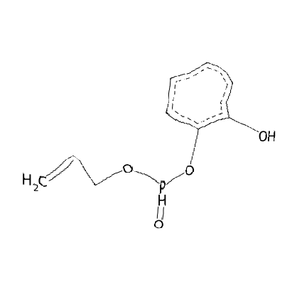 C=CCO[PH](=O)Oc1ccccc1O